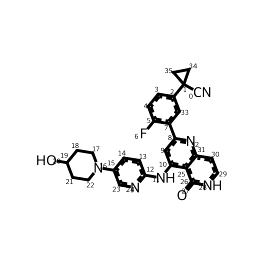 N#CC1(c2ccc(F)c(-c3cc(Nc4ccc(N5CCC(O)CC5)cn4)c4c(=O)[nH]ccc4n3)c2)CC1